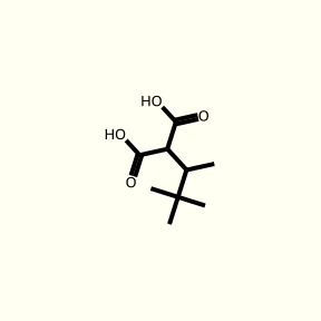 CC(C(C(=O)O)C(=O)O)C(C)(C)C